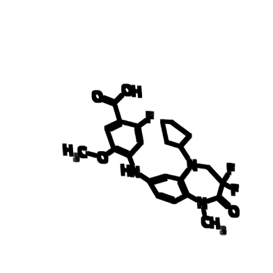 COc1cc(C(=O)O)c(F)cc1Nc1ccc2c(c1)N(C1CCCC1)CC(F)(F)C(=O)N2C